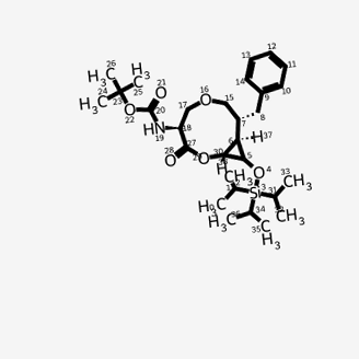 CC(C)[Si](OC1[C@@H]2[C@@H](Cc3ccccc3)COC[C@H](NC(=O)OC(C)(C)C)C(=O)O[C@@H]12)(C(C)C)C(C)C